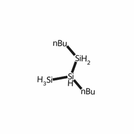 CCCC[SiH2][SiH]([SiH3])CCCC